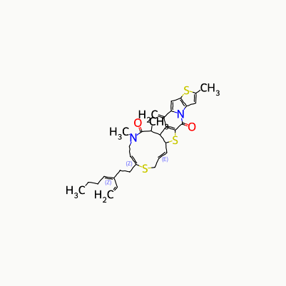 C=C/C(=C\CCC)CC/C1=C/CN(C)C(=O)C(C)C2c3c(c(=O)n4c(cc5sc(C)cc54)c3=C)SC2/C=C/CS1